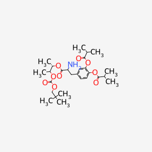 CC(C)C(=O)Oc1ccc(C[C@H](N)C(=O)O[C@@H](C)C(C)OC(=O)OCC(C)(C)C)cc1OC(=O)C(C)C